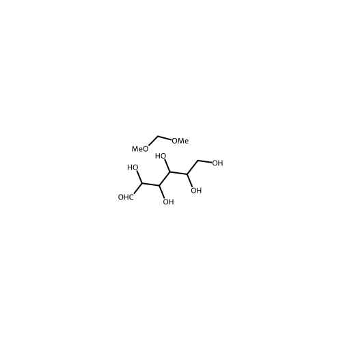 COCOC.O=CC(O)C(O)C(O)C(O)CO